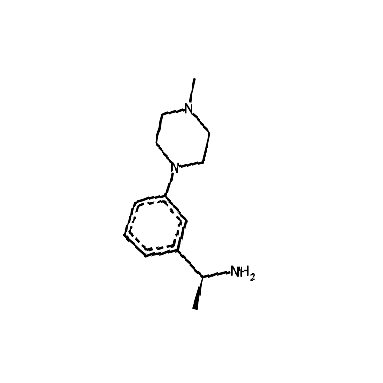 C[C@H](N)c1cccc(N2CCN(C)CC2)c1